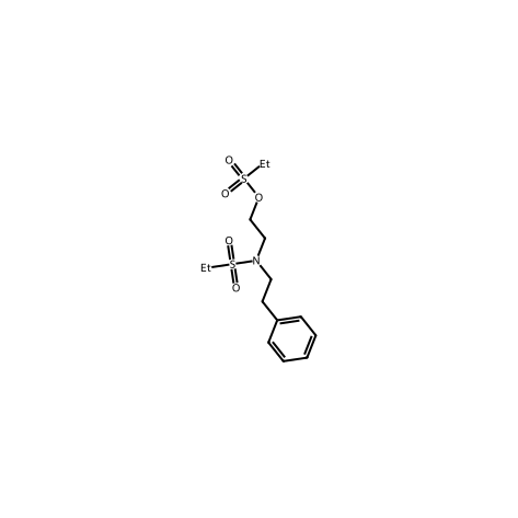 CCS(=O)(=O)OCCN(CCc1ccccc1)S(=O)(=O)CC